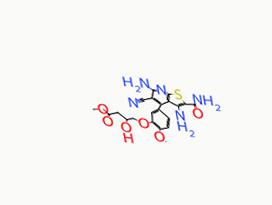 COC(=O)C[C@H](O)COc1cc(-c2c(C#N)c(N)nc3sc(C(N)=O)c(N)c23)ccc1OC